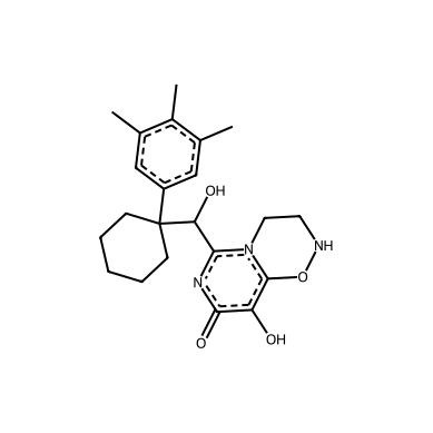 Cc1cc(C2(C(O)c3nc(=O)c(O)c4n3CCNO4)CCCCC2)cc(C)c1C